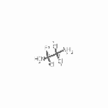 NC(F)(Cl)C(N)(Cl)Cl